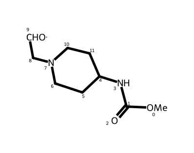 COC(=O)NC1CCN(C[C]=O)CC1